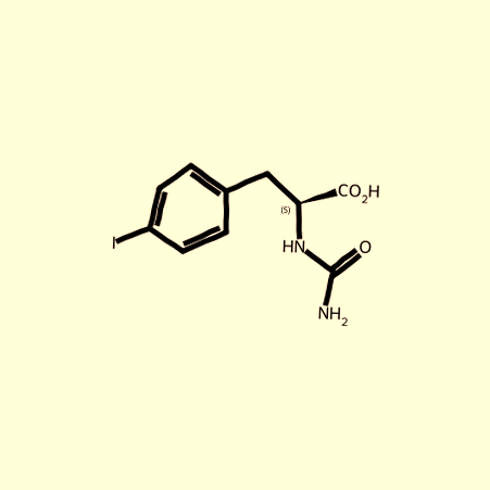 NC(=O)N[C@@H](Cc1ccc(I)cc1)C(=O)O